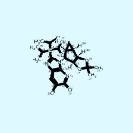 CC(C)[Si](c1nc2cc(Cl)c(Cl)nc2n1[C@@H]1[C@H]2C[C@H]2[C@H]2OC(C)(C)O[C@H]21)(C(C)C)C(C)C